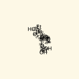 C=C(C)C(=O)OCC(CC)(CO)COCCC[Si](C)(O[Si](C)(C)CCCOCC(CC)(CO)CO)O[Si](C)(C)O[Si](C)(C)C